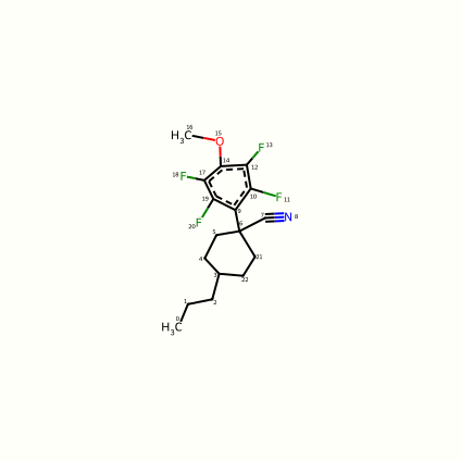 CCCC1CCC(C#N)(c2c(F)c(F)c(OC)c(F)c2F)CC1